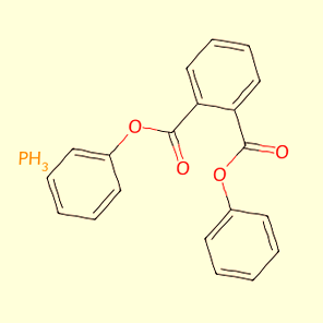 O=C(Oc1ccccc1)c1ccccc1C(=O)Oc1ccccc1.P